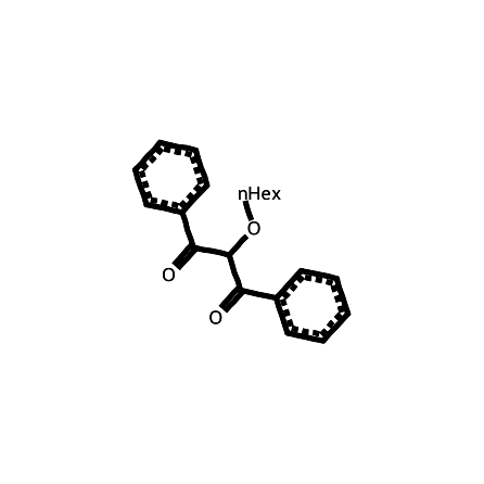 CCCCCCOC(C(=O)c1ccccc1)C(=O)c1ccccc1